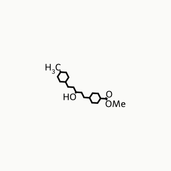 COC(=O)C1CCC(CCC(O)CCC2CCC(C)CC2)CC1